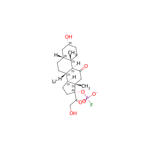 C[C@]12CC[C@@H](O)C[C@H]1CC[C@@H]1[C@@H]2C(=O)C[C@@]2(C)[C@H]1CC[C@]2(OP(=O)([O-])F)C(=O)CO.[Li+]